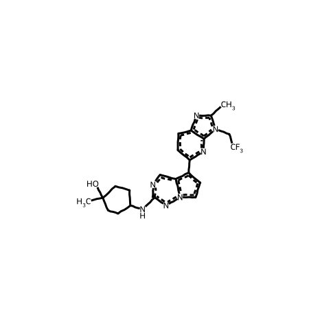 Cc1nc2ccc(-c3ccn4nc(NC5CCC(C)(O)CC5)ncc34)nc2n1CC(F)(F)F